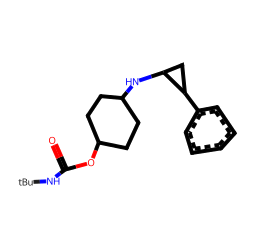 CC(C)(C)NC(=O)OC1CCC(NC2CC2c2ccccc2)CC1